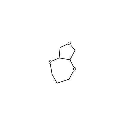 C1COC2COCC2SC1